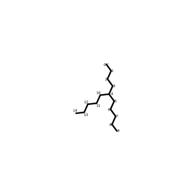 [CH2]CCCC(CCCCC)CCCCC